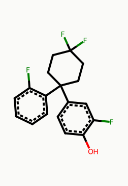 Oc1ccc(C2(c3ccccc3F)CCC(F)(F)CC2)cc1F